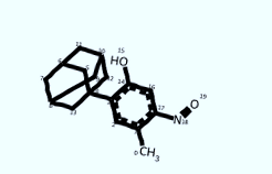 Cc1cc(C23CC4CC(CC(C4)C2)C3)c(O)cc1N=O